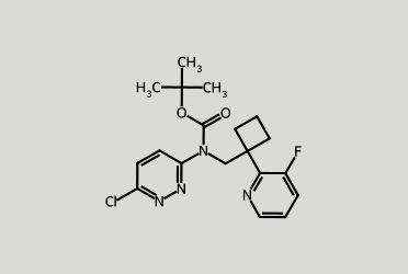 CC(C)(C)OC(=O)N(CC1(c2ncccc2F)CCC1)c1ccc(Cl)nn1